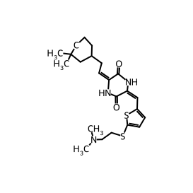 CN(C)CCSc1ccc(C=c2[nH]c(=O)c(=CCC3CCCC(C)(C)C3)[nH]c2=O)s1